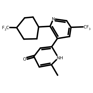 Cc1cc(=O)cc(-c2cc(C(F)(F)F)cnc2C2CCC(C(F)(F)F)CC2)[nH]1